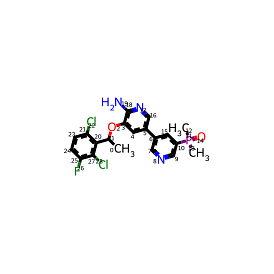 CC(Oc1cc(-c2cncc(P(C)(C)=O)c2)cnc1N)c1c(Cl)ccc(F)c1Cl